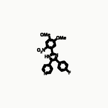 COc1cc(-c2nc(-c3ccc(F)cc3)c(-c3ccncc3)[nH]2)c([N+](=O)[O-])cc1OC